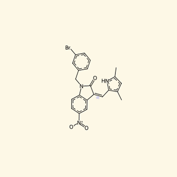 Cc1cc(C)c(/C=C2\C(=O)N(Cc3cccc(Br)c3)c3ccc([N+](=O)[O-])cc32)[nH]1